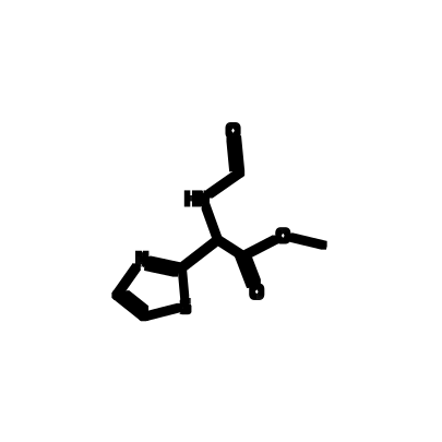 COC(=O)C(NC=O)c1nccs1